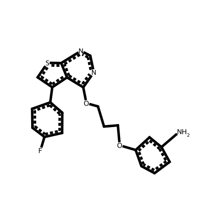 Nc1cccc(OCCCOc2ncnc3scc(-c4ccc(F)cc4)c23)c1